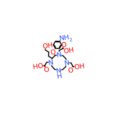 Nc1ccc(OC2C(CCCO)N(CC(=O)O)CCNCCN(CC(=O)O)CCN2CC(=O)O)cc1